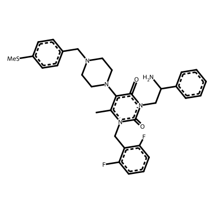 CSc1ccc(CN2CCN(c3c(C)n(Cc4c(F)cccc4F)c(=O)n(CC(N)c4ccccc4)c3=O)CC2)cc1